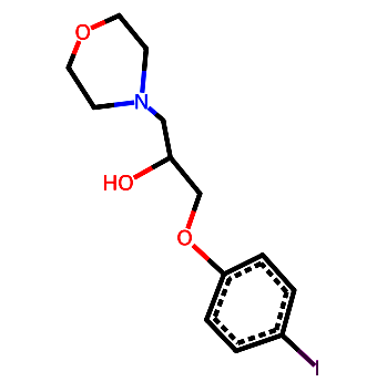 OC(COc1ccc(I)cc1)CN1CCOCC1